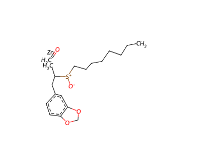 C=O.CCCCCCCC[S+]([O-])C(C)Cc1ccc2c(c1)OCO2.[Zn]